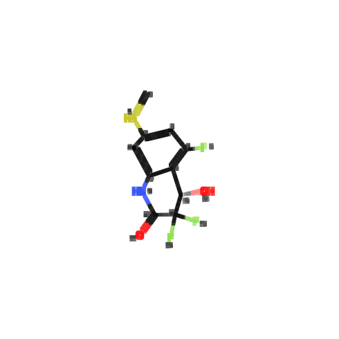 C=[SH]c1cc(F)c2c(c1)NC(=O)C(F)(F)[C@H]2O